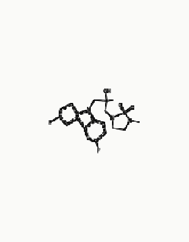 CN1CCN(CC(C)(O)Cn2c3ccc(F)cc3c3cc(F)ccc32)S1(=O)=O